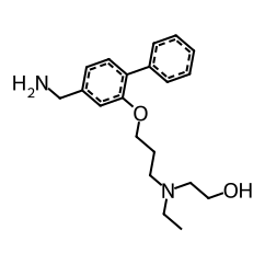 CCN(CCO)CCCOc1cc(CN)ccc1-c1ccccc1